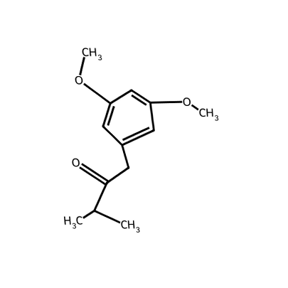 COc1cc(CC(=O)C(C)C)cc(OC)c1